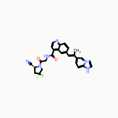 C/C(=C\c1ccc2nccc(C(=O)NCC(=O)N3CC(F)(F)C[C@H]3C#N)c2c1)c1ccc2[nH]cc[n+]2c1